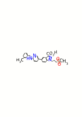 Cc1cccc(CNc2ccc(-c3ccc4c(c3)c(C(=O)O)nn4CCCS(C)(=O)=O)cn2)c1